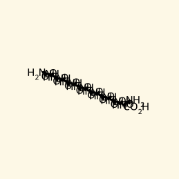 NCC(=O)NCC(=O)NCC(=O)NCC(=O)NCC(=O)NCC(=O)NCC(=O)NCC(=O)NCC(=O)NCC(=O)NCC(=O)NCC(=O)NCC(=O)NCC(=O)N[C@@H](CC(N)=O)C(=O)O